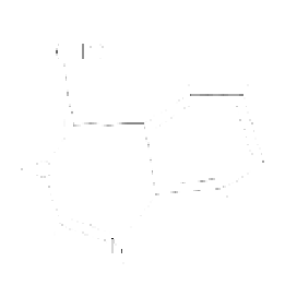 O=CC1OC=Nc2ccccc21